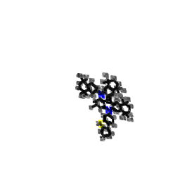 Cc1cc2c3c(c1)N(c1ccc4c(c1)sc1ccccc14)c1cc4c(cc1B3c1cc3c(cc1N2c1ccc2c(c1)C(C)(C)CCC2(C)C)C(C)(C)CCC3(C)C)C(C)(C)CCC4(C)C